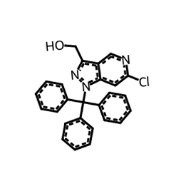 OCc1nn(C(c2ccccc2)(c2ccccc2)c2ccccc2)c2cc(Cl)ncc12